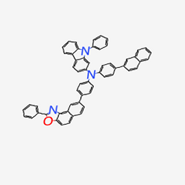 c1ccc(-c2nc3c(ccc4ccc(-c5ccc(N(c6ccc(-c7ccc8ccccc8c7)cc6)c6ccc7c8ccccc8n(-c8ccccc8)c7c6)cc5)cc43)o2)cc1